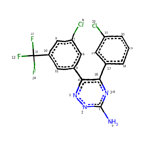 Nc1nnc(-c2cc(Cl)cc(C(F)(F)F)c2)c(-c2cccc(Cl)c2)n1